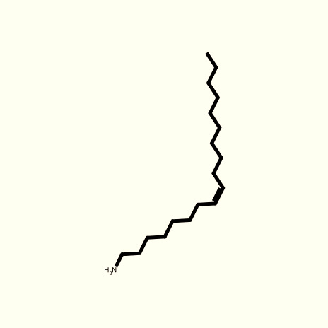 CCCCCCCCC/C=C\CCCCCCCN